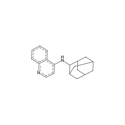 c1ccc2c(NC3C4CC5CC(C4)CC3C5)ccnc2c1